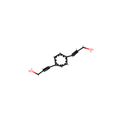 OCC#Cc1ccc(C#CCO)cc1